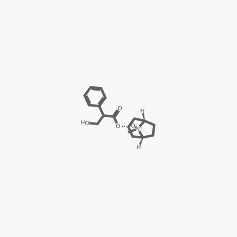 C[N+]1([O-])[C@@H]2CC[C@H]1C[C@@H](OC(=O)C(CO)c1ccccc1)C2